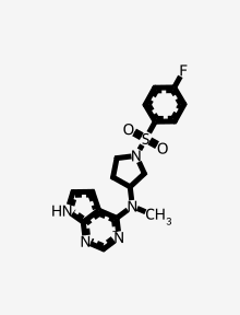 CN(c1ncnc2[nH]ccc12)C1CCN(S(=O)(=O)c2ccc(F)cc2)C1